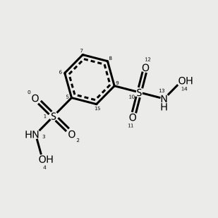 O=S(=O)(NO)c1cccc(S(=O)(=O)NO)c1